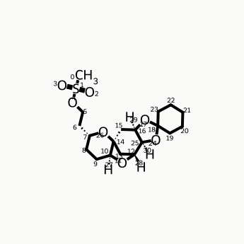 CS(=O)(=O)OCC[C@H]1CC[C@@H]2O[C@@H]3C[C@]2(C[C@H]2OC4(CCCCC4)O[C@@H]32)O1